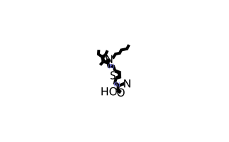 CCCCCCn1c(C)c(CC)c(C)c1/C=C/c1ccc(/C=C(\C#N)C(=O)O)s1